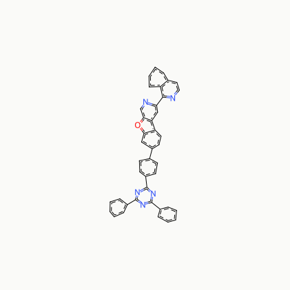 c1ccc(-c2nc(-c3ccccc3)nc(-c3ccc(-c4ccc5c(c4)oc4cnc(-c6nccc7ccccc67)cc45)cc3)n2)cc1